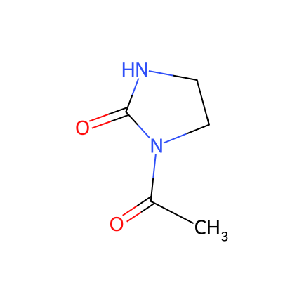 CC(=O)N1CCNC1=O